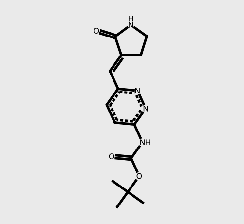 CC(C)(C)OC(=O)Nc1ccc(/C=C2\CCNC2=O)nn1